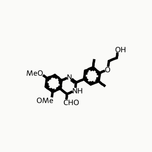 COc1cc2c(c(OC)c1)C(C=O)NC(c1cc(C)c(OCCO)c(C)c1)=N2